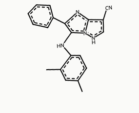 Cc1ccc(Nc2c(-c3ccccc3)nc3c(C#N)c[nH]n23)c(C)c1